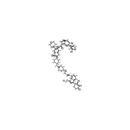 Cn1nc(C2CCC(=O)NC2=O)c2cccc(C#CCOC3CCN(CC4CCC(N5Cc6cc(NC(=O)c7cnn8ccc(N9C[C@H]%10C[C@@H]9CO%10)nc78)c(N7CCOCC7)cc6C5=O)CC4)CC3)c21